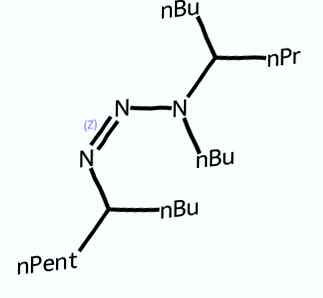 CCCCCC(CCCC)/N=N\N(CCCC)C(CCC)CCCC